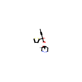 CC#CC(O)(C(=O)O[C@H]1CN2CCC1CC2)c1cccs1